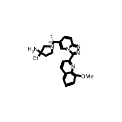 CCC1(N)CCN([C@H](C)c2ccc3nnc(-c4ccc5cccc(OC)c5n4)n3c2)C1